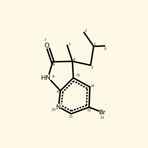 CC(C)CC1(C)C(=O)Nc2ncc(Br)cc21